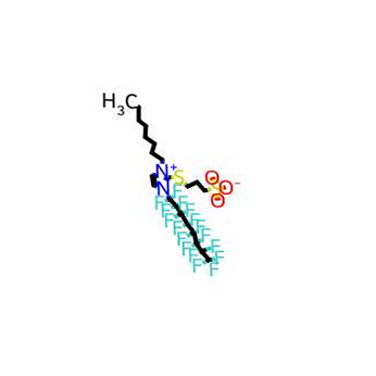 CCCCCCCC[n+]1ccn(C(F)(F)C(F)(F)C(F)(F)C(F)(F)C(F)(F)C(F)(F)C(F)(F)C(F)(F)F)c1SCCCS(=O)(=O)[O-]